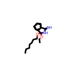 CCCCCCCOC1(OCC)NC(=N)c2ccccc21